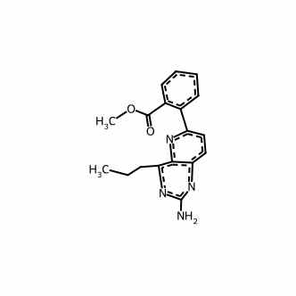 CCCc1nc(N)nc2ccc(-c3ccccc3C(=O)OC)nc12